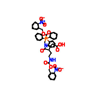 O=C(O)CC1C(CCNC(=O)OCc2ccccc2[N+](=O)[O-])C(=O)N1CP(C(=O)OCc1ccccc1[N+](=O)[O-])(c1ccccc1)(c1ccccc1)c1ccccc1